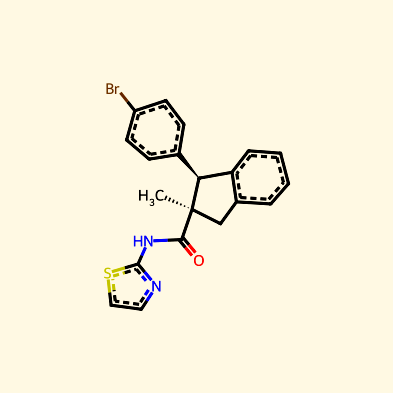 C[C@@]1(C(=O)Nc2nccs2)Cc2ccccc2[C@@H]1c1ccc(Br)cc1